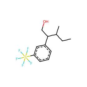 CCC(C)C(CO)c1cccc(S(F)(F)(F)(F)F)c1